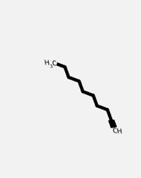 C#CCCCCCCCC